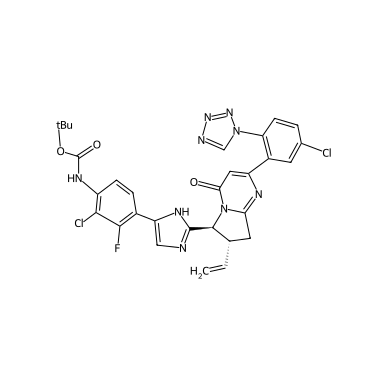 C=C[C@H]1Cc2nc(-c3cc(Cl)ccc3-n3cnnn3)cc(=O)n2[C@@H]1c1ncc(-c2ccc(NC(=O)OC(C)(C)C)c(Cl)c2F)[nH]1